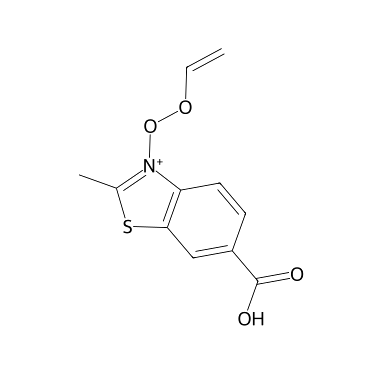 C=COO[n+]1c(C)sc2cc(C(=O)O)ccc21